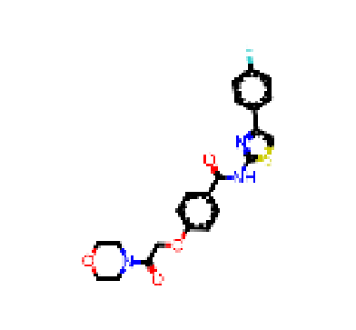 O=C(Nc1nc(-c2ccc(F)cc2)cs1)c1ccc(OCC(=O)N2CCOCC2)cc1